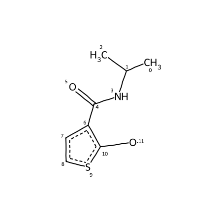 CC(C)NC(=O)c1ccsc1[O]